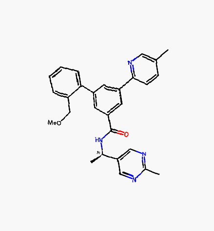 COCc1ccccc1-c1cc(C(=O)N[C@H](C)c2cnc(C)nc2)cc(-c2ccc(C)cn2)c1